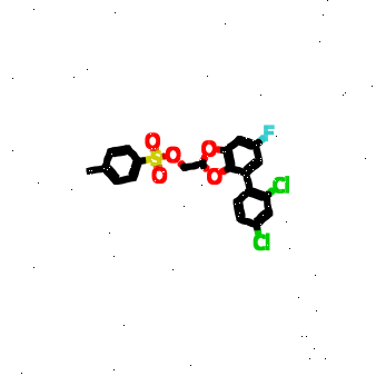 Cc1ccc(S(=O)(=O)OCC2Oc3cc(F)cc(-c4ccc(Cl)cc4Cl)c3O2)cc1